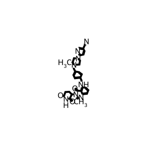 Cc1nc2cccc(NCc3ccc(CN4CCN(c5ccc(C#N)cn5)C[C@H]4C)cc3)c2c(=O)n1C1CCC(=O)NC1=O